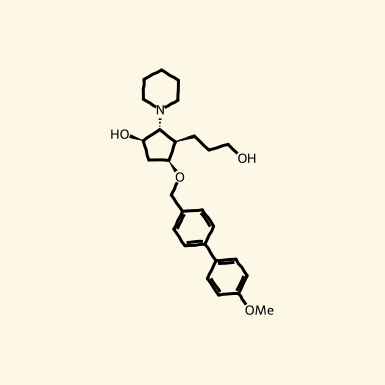 COc1ccc(-c2ccc(CO[C@H]3C[C@@H](O)[C@H](N4CCCCC4)[C@H]3CCCO)cc2)cc1